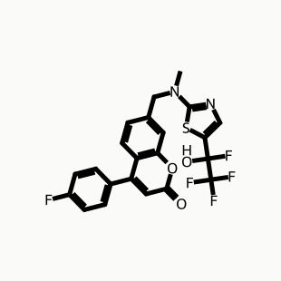 CN(Cc1ccc2c(-c3ccc(F)cc3)cc(=O)oc2c1)c1ncc(C(O)(F)C(F)(F)F)s1